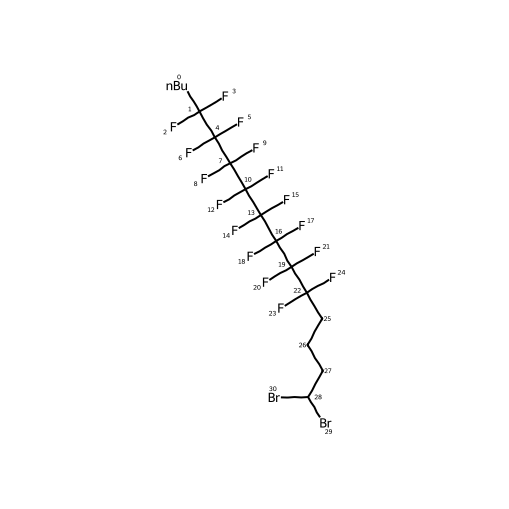 CCCCC(F)(F)C(F)(F)C(F)(F)C(F)(F)C(F)(F)C(F)(F)C(F)(F)C(F)(F)CCCC(Br)Br